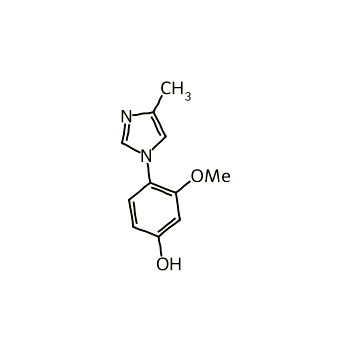 COc1cc(O)ccc1-n1cnc(C)c1